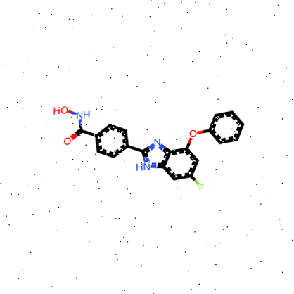 O=C(NO)c1ccc(-c2nc3c(Oc4ccccc4)cc(F)cc3[nH]2)cc1